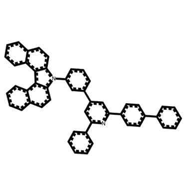 c1ccc(-c2ccc(-c3cc(-c4cccc(-n5c6ccc7ccccc7c6c6c7ccccc7ccc65)c4)cc(-c4ccccc4)n3)cc2)cc1